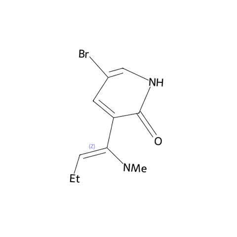 CC/C=C(\NC)c1cc(Br)c[nH]c1=O